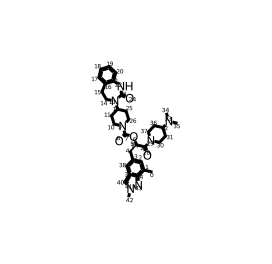 Cc1cc(C[C@@H](OC(=O)N2CCC(N3CCc4ccccc4NC3=O)CC2)C(=O)N2CCC(N(C)C)CC2)cc2cn(C)nc12